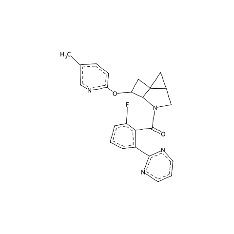 Cc1ccc(OC2CC34CC3CN(C(=O)c3c(F)cccc3-c3ncccn3)C24)nc1